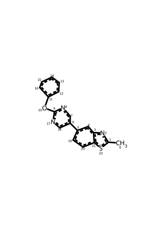 Cc1nc2cc(-c3cnc(Oc4ccccc4)nc3)ccc2s1